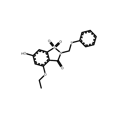 CCOc1cc(O)cc2c1C(=O)N(CSc1ccccc1)S2(=O)=O